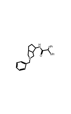 CCCC(CCC)C(=O)NC1CCC2CN(Cc3ccccc3)CC21